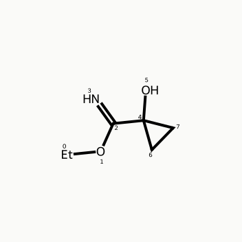 CCOC(=N)C1(O)CC1